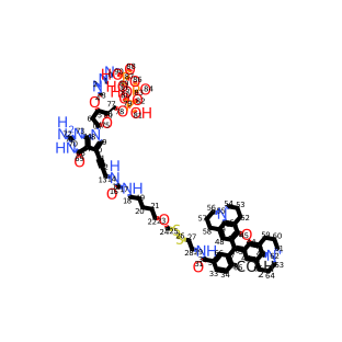 [N-]=[N+]=NCOC1C[C@H](n2cc(C#CCNC(=O)NCCCCCOCSSCCNC(=O)c3ccc(C(=O)O)c(C4=c5cc6c7c(c5Oc5c4cc4c8c5CCCN8CCC4)CCC[N+]=7CCC6)c3)c3c(=O)[nH]c(N)nc32)O[C@@H]1COP(=O)(O)OP(=O)(O)OP(=O)(O)O